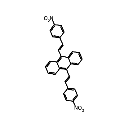 O=[N+]([O-])c1ccc(C=Cc2c3ccccc3c(C=Cc3ccc([N+](=O)[O-])cc3)c3ccccc23)cc1